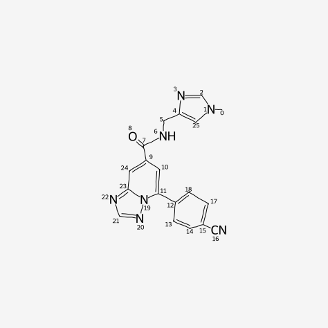 Cn1cnc(CNC(=O)c2cc(-c3ccc(C#N)cc3)n3ncnc3c2)c1